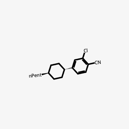 CCCCC[C@H]1CC[C@H](c2ccc(C#N)c(Cl)c2)CC1